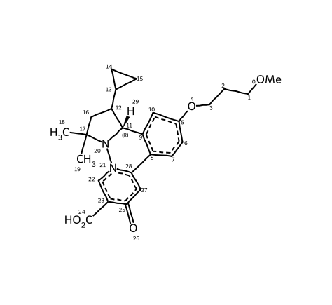 COCCCOc1ccc2c(c1)[C@H]1C(C3CC3)CC(C)(C)N1n1cc(C(=O)O)c(=O)cc1-2